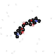 c1ccc([Si]2(c3ccccc3)c3cc(-c4ccc5oc6ccc(-c7ccc8c(c7)[Si](c7ccccc7)(c7ccccc7)c7cc(-n9c%10ccccc%10c%10ccccc%109)ccc7O8)cc6c5c4)ccc3Oc3ccc(-n4c5ccccc5c5ccccc54)cc32)cc1